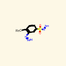 COc1ccc(S(=O)(=O)N=N)cc1N=N